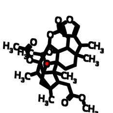 COC(=O)CC1C2(C)CC34OC5(C)OC67C(CC(=O)OC6C3(OC(C)=O)C2C)C(C)(C(C)c2ccoc2)CCC7(O5)C14C